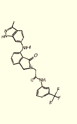 Cc1n[nH]c2cc(Nc3cccc4c3C(=O)N(CC(=O)Nc3cccc(C(F)(F)F)c3)C4)ccc12